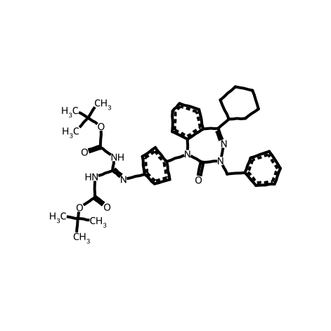 CC(C)(C)OC(=O)NC(=Nc1ccc(N2C(=O)N(Cc3ccccc3)N=C(C3CCCCC3)c3ccccc32)cc1)NC(=O)OC(C)(C)C